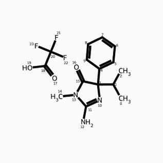 CC(C)C1(c2ccccc2)N=C(N)N(C)C1=O.O=C(O)C(F)(F)F